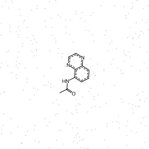 CC(=O)Nc1cccc2nccnc12